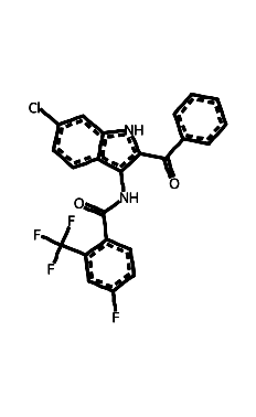 O=C(Nc1c(C(=O)c2ccccc2)[nH]c2cc(Cl)ccc12)c1ccc(F)cc1C(F)(F)F